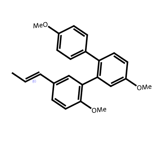 C/C=C/c1ccc(OC)c(-c2cc(OC)ccc2-c2ccc(OC)cc2)c1